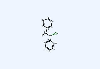 CC(c1ccccc1)C(Cl)c1ccccc1